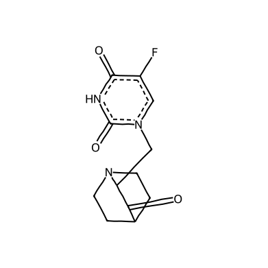 O=C1C2CCN(CC2)C1Cn1cc(F)c(=O)[nH]c1=O